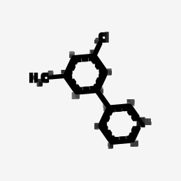 Cc1cc(Cl)cc(-c2cccnc2)c1